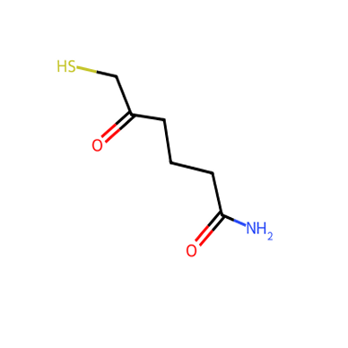 NC(=O)CCCC(=O)CS